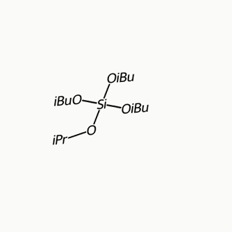 CC(C)CO[Si](OCC(C)C)(OCC(C)C)OC(C)C